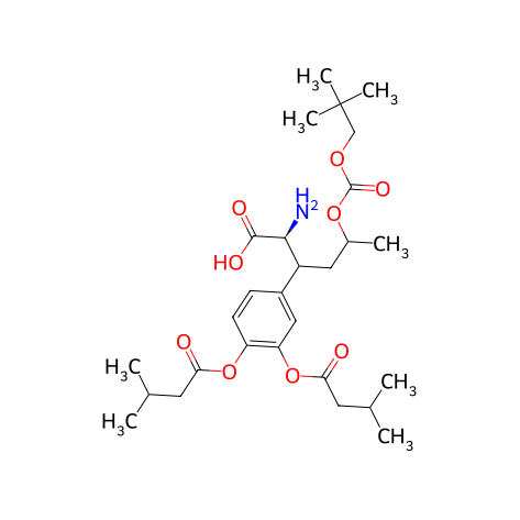 CC(C)CC(=O)Oc1ccc(C(CC(C)OC(=O)OCC(C)(C)C)[C@H](N)C(=O)O)cc1OC(=O)CC(C)C